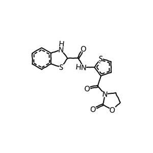 O=C(Nc1sccc1C(=O)N1CCOC1=O)C1Nc2ccccc2S1